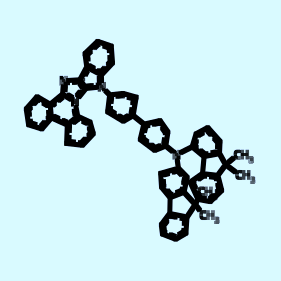 CC1(C)c2ccccc2-c2ccc(N(c3ccc(-c4ccc(-n5c6ccccc6c6nc7c8ccccc8c8ccccc8n7c65)cc4)cc3)c3cccc4c3-c3ccccc3C4(C)C)cc21